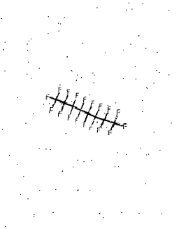 FC(F)(F)C(F)(F)C(F)(F)C(F)(F)C(F)(I)C(F)(F)C(F)(F)C(F)(F)F